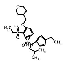 CCc1ccc(N(CC(C)C)[SH]2(=O)c3ccc(OCC4CCOCC4)c(S(=N)(=O)CC)c32)cc1